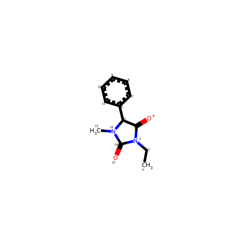 CCN1C(=O)C(c2ccccc2)N(C)C1=O